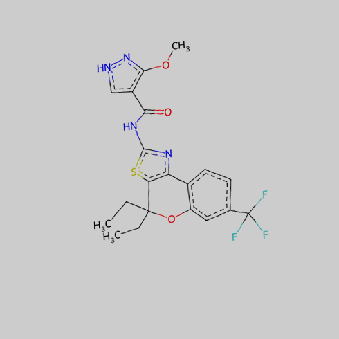 CCC1(CC)Oc2cc(C(F)(F)F)ccc2-c2nc(NC(=O)c3c[nH]nc3OC)sc21